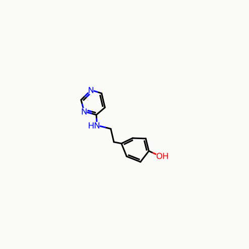 Oc1ccc(CCNc2ccncn2)cc1